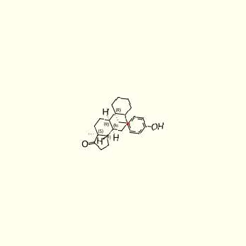 C[C@]12CC[C@@H]3[C@@H](CCC4CCCC[C@@]43Cc3ccc(O)cc3)[C@@H]1CCC2=O